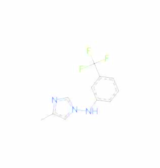 Cc1cn(Nc2cccc(C(F)(F)F)c2)cn1